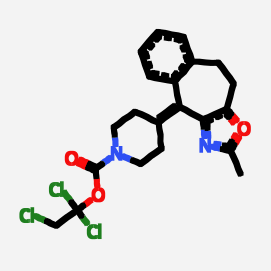 Cc1nc2c(o1)CCc1ccccc1C2=C1CCN(C(=O)OC(Cl)(Cl)CCl)CC1